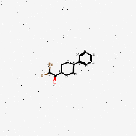 O=C(C(Br)Br)C1CCC(c2ccccc2)CC1